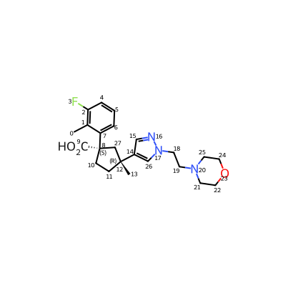 Cc1c(F)cccc1[C@]1(C(=O)O)CC[C@@](C)(c2cnn(CCN3CCOCC3)c2)C1